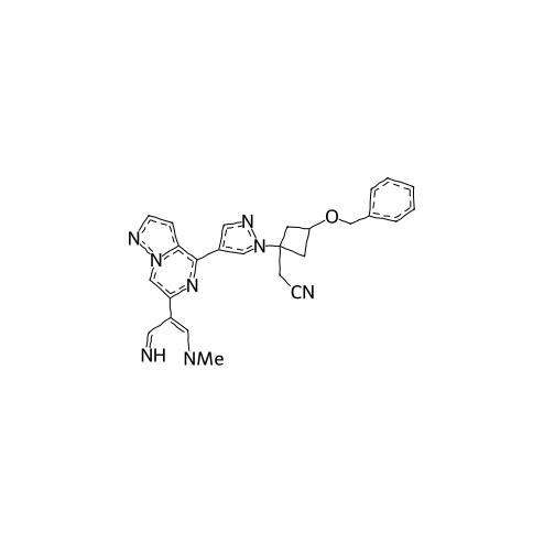 CN/C=C(\C=N)c1cn2nccc2c(-c2cnn(C3(CC#N)CC(OCc4ccccc4)C3)c2)n1